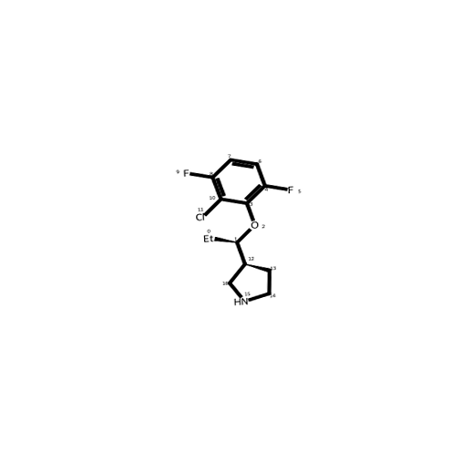 CC[C@@H](Oc1c(F)ccc(F)c1Cl)[C@H]1CCNC1